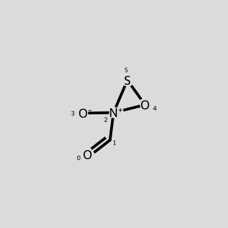 O=C[N+]1([O-])OS1